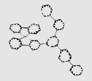 c1ccc(-c2ccc(-c3cc(-c4cccc(-c5cccnc5)c4)nc(-c4ccc5c(c4)C4(c6ccccc6-c6ccccc64)c4ccccc4-5)n3)cc2)cc1